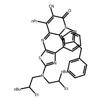 CCCCC(CC)CN(CC(CC)CCCC)c1nc(-c2ccccc2)c(/N=C2/C(CCC)=C(C#N)C(=O)n3nc(Cc4ccccc4)nc32)s1